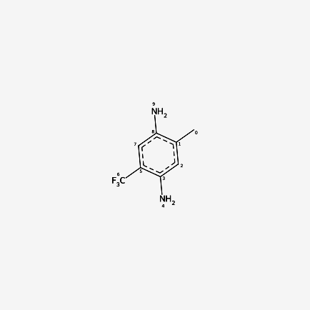 Cc1cc(N)c(C(F)(F)F)cc1N